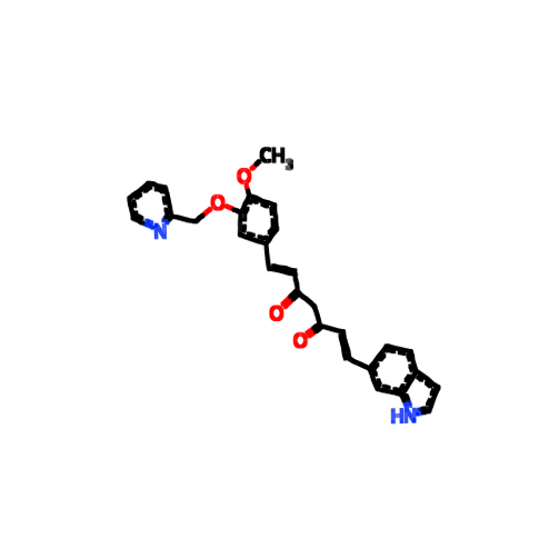 COc1ccc(/C=C/C(=O)CC(=O)/C=C/c2ccc3cc[nH]c3c2)cc1OCc1ccccn1